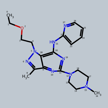 CCOCCn1nc(C)c2nc(N3CCN(C)CC3)nc(Nc3ccccn3)c21